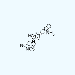 N#CC1CCC2C(C1)N(C1(C#N)CC1)CCN2c1n[nH]c2nc(N3CCC4(CC3)Cc3ccccc3[C@H]4N)cnc12